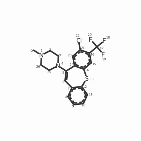 CN1CCN(C2=Cc3ccccc3Sc3cc(C(F)(F)F)c(Cl)cc32)CC1